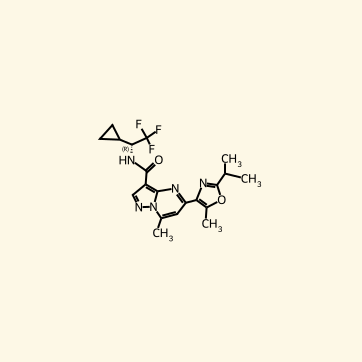 Cc1oc(C(C)C)nc1-c1cc(C)n2ncc(C(=O)N[C@H](C3CC3)C(F)(F)F)c2n1